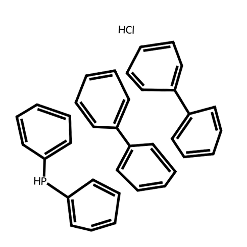 Cl.c1ccc(-c2ccccc2)cc1.c1ccc(-c2ccccc2)cc1.c1ccc(Pc2ccccc2)cc1